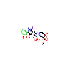 CCOC(=O)c1cn(C(Cc2cc(O)c(Cl)nc2I)C(C)(C)CO)ccc1=O